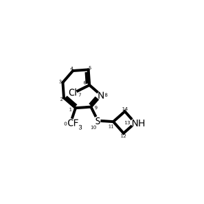 FC(F)(F)C1=C/CC/C=C(Cl)/N=C\1SC1CNC1